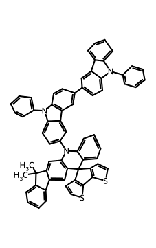 CC1(C)c2ccccc2-c2cc3c(cc21)N(c1ccc2c(c1)c1cc(-c4ccc5c(c4)c4ccccc4n5-c4ccccc4)ccc1n2-c1ccccc1)c1ccccc1C31c2ccsc2-c2sccc21